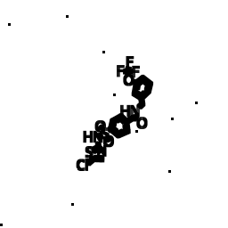 O=C(NCc1cccc(OC(F)(F)F)c1)c1ccc(S(=O)(=O)Nc2ncc(Cl)s2)cc1